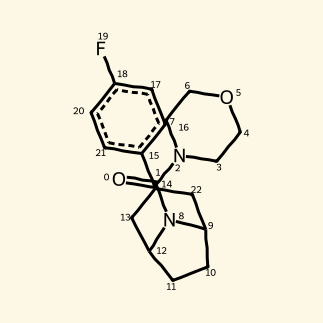 O=C(N1CCOCC1)N1C2CCC1CC(c1ccc(F)cc1)C2